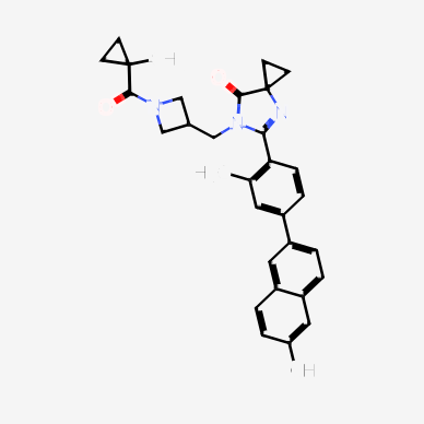 Cc1ccc2cc(-c3ccc(C4=NC5(CC5)C(=O)N4CC4CN(C(=O)C5(C)CC5)C4)c(C)c3)ccc2c1